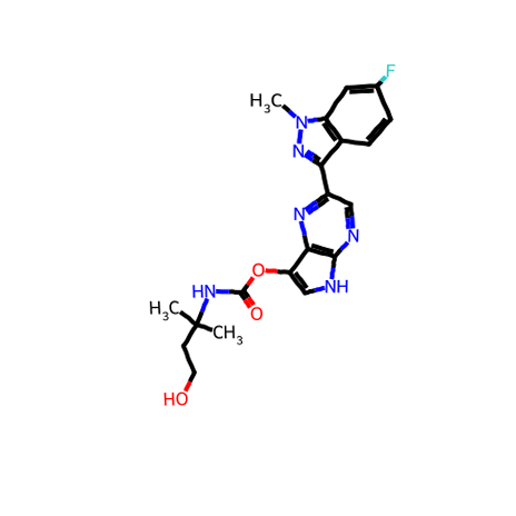 Cn1nc(-c2cnc3[nH]cc(OC(=O)NC(C)(C)CCO)c3n2)c2ccc(F)cc21